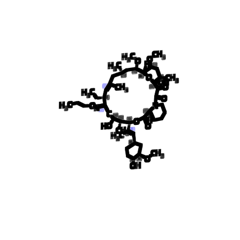 CCCO/N=C1/C[C@H](O)[C@@H](C)[C@@H](/C(C)=C/[C@@H]2CC[C@@H](O)[C@H](OC)C2)OC(=O)[C@@H]2CCCCN2C(=O)C(=O)[C@]2(O)O[C@H]([C@@H](OC)C[C@@H](C)C/C(C)=C/[C@H]1CC)[C@@H](OC)C[C@H]2C